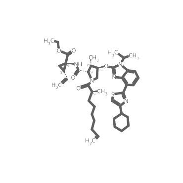 C=CCCCCC[C@H](C)C(=O)N1C[C@H](Oc2nc3c(-c4nc(C5CCCCC5)cs4)cccc3n2C(C)C)[C@@H](C)[C@H]1C(=O)N[C@]1(C(=O)OCC)C[C@H]1C=C